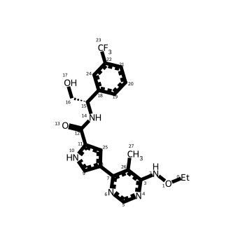 CCONc1ncnc(-c2c[nH]c(C(=O)N[C@H](CO)c3cccc(C(F)(F)F)c3)c2)c1C